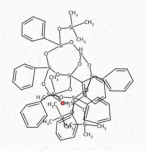 C[Si](C)(C)O[Si]1(c2ccccc2)O[SiH]2O[Si](O[Si](C)(C)C)(c3ccccc3)O[Si](c3ccccc3)(O1)O[Si]1(c3ccccc3)O[Si](O[Si](C)(C)C)(c3ccccc3)O[Si](c3ccccc3)(O2)O[Si](O[Si](C)(C)C)(c2ccccc2)O1